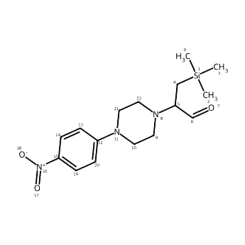 C[Si](C)(C)CC(C=O)N1CCN(c2ccc([N+](=O)[O-])cc2)CC1